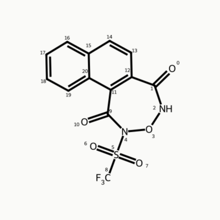 O=C1NON(S(=O)(=O)C(F)(F)F)C(=O)c2c1ccc1ccccc21